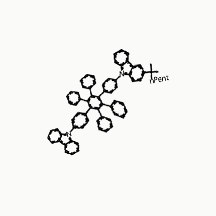 CCCCCC(C)(C)c1ccc2c(c1)c1ccccc1n2-c1ccc(-c2c(-c3ccccc3)c(-c3ccccc3)c(-c3ccc(-n4c5ccccc5c5ccccc54)cc3)c(-c3ccccc3)c2-c2ccccc2)cc1